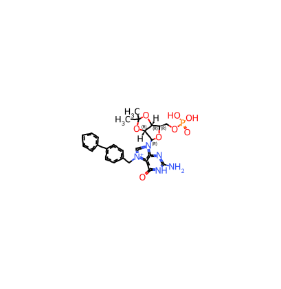 CC1(C)O[C@@H]2[C@H](O1)[C@@H](COP(=O)(O)O)O[C@H]2n1c[n+](Cc2ccc(-c3ccccc3)cc2)c2c(=O)[nH]c(N)nc21